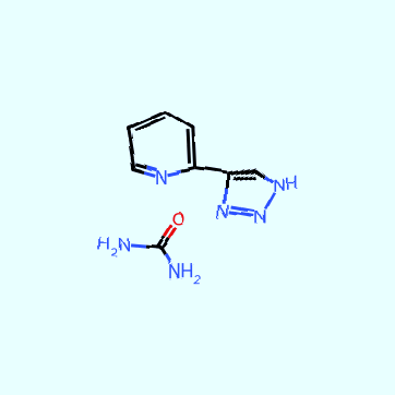 NC(N)=O.c1ccc(-c2c[nH]nn2)nc1